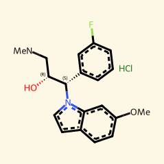 CNC[C@@H](O)[C@H](c1cccc(F)c1)n1ccc2ccc(OC)cc21.Cl